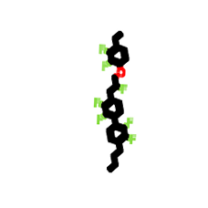 CCCCc1ccc(-c2ccc(CC(F)COc3ccc(CC)c(F)c3F)c(F)c2F)c(F)c1F